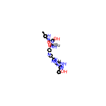 C#Cc1ccc(CNC(=O)[C@@H]2C[C@@H](O)CN2C(=O)[C@@H](NC(=O)[C@H]2CC[C@H](CN3CCC(c4cnc(N5CCN6c7cc(-c8ccccc8O)nnc7NC[C@H]6C5)nc4)CC3)CC2)C(C)(C)C)cc1